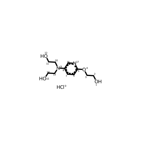 Cl.OCCOc1ccc(N(CCO)CCO)cn1